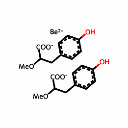 COC(Cc1ccc(O)cc1)C(=O)[O-].COC(Cc1ccc(O)cc1)C(=O)[O-].[Be+2]